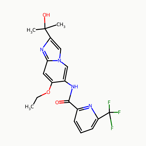 CCOc1cc2nc(C(C)(C)O)cn2cc1NC(=O)c1cccc(C(F)(F)F)n1